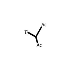 CC(=O)[CH]([Tl])C(C)=O